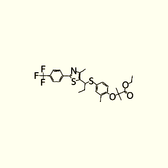 CCOC(=O)C(C)(C)Oc1ccc(SC(CC)c2sc(-c3ccc(C(F)(F)F)cc3)nc2C)cc1C